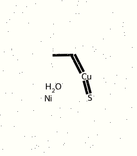 C[CH]=[Cu]=[S].O.[Ni]